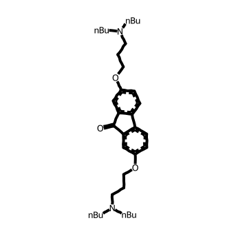 CCCCN(CCCC)CCCOc1ccc2c(c1)C(=O)c1cc(OCCCN(CCCC)CCCC)ccc1-2